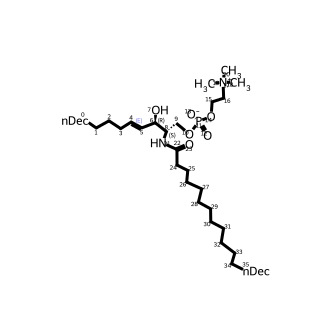 CCCCCCCCCCCCC/C=C/[C@@H](O)[C@H](COP(=O)([O-])OCC[N+](C)(C)C)NC(=O)CCCCCCCCCCCCCCCCCCCCC